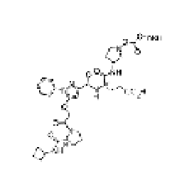 CCCCOC(=O)ON1CCC(NC(=O)[C@H](CCC(=O)O)NC(=O)c2cc(OCC(=O)N3CCC[C@H]3C(=O)NC3CCC3)n(-c3ccccc3)n2)C1